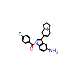 Nc1ccc2c(c1)c(C1=CCN3CCCC3C1)cn2C(=O)c1ccc(F)cc1